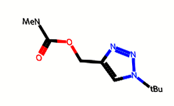 CNC(=O)OCc1cn(C(C)(C)C)nn1